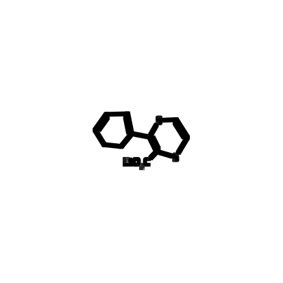 CCOC(=O)C1=C(C2=CC=CCC2)SC=CS1